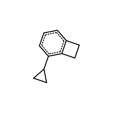 c1cc2c(c([C]3CC3)c1)CC2